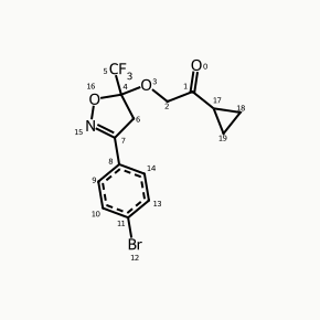 O=C(COC1(C(F)(F)F)CC(c2ccc(Br)cc2)=NO1)C1CC1